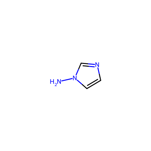 Nn1ccnc1